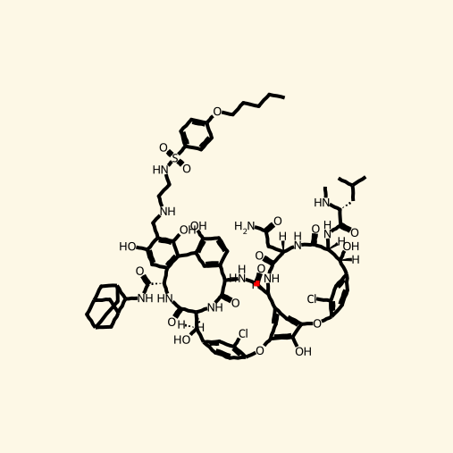 CCCCCOc1ccc(S(=O)(=O)NCCNCc2c(O)cc3c(c2O)-c2cc(ccc2O)[C@H]2NC(=O)[C@@H]4NC(=O)[C@H](CC(N)=O)NC(=O)[C@H](NC(=O)[C@@H](CC(C)C)NC)[C@H](O)c5ccc(c(Cl)c5)Oc5cc4cc(c5O)Oc4ccc(cc4Cl)[C@@H](O)[C@H](NC2=O)C(=O)N[C@@H]3C(=O)NC2C3CC4CC(C3)CC2C4)cc1